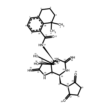 CC1(C)CCCc2cccc(C(=O)N[C@H]3CN4C(=N)N[C@@H](CN5C(=O)CCC5=O)C5NC(=N)NC54C3(O)O)c21